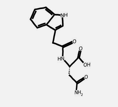 NC(=O)C[C@H](NC(=O)Cc1c[nH]c2ccccc12)C(=O)O